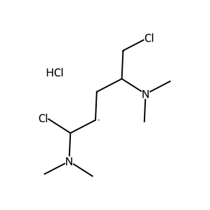 CN(C)C(Cl)[CH]CC(CCl)N(C)C.Cl